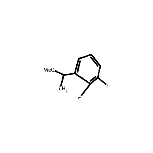 [CH2]C(OC)c1cccc(F)c1F